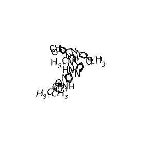 COc1ccc(CN(Cc2ccc(OC)cc2)c2nc(C)nc(-c3cccnc3Nc3ccc(NC(=O)OC(C)(C)C)nc3)n2)cc1